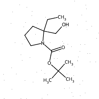 CCC1(CO)CCCN1C(=O)OC(C)(C)C